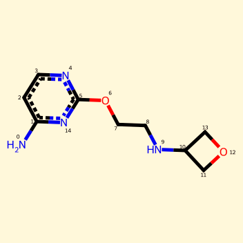 Nc1ccnc(OCCNC2COC2)n1